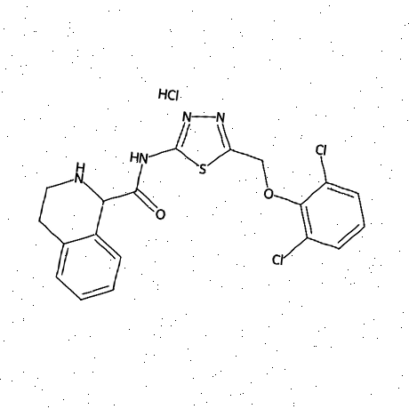 Cl.O=C(Nc1nnc(COc2c(Cl)cccc2Cl)s1)C1NCCc2ccccc21